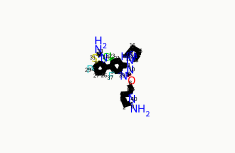 Nc1cccc(CCOc2nc(N3CC4CCC(C3)N4)c3cc(Cl)c(-c4ccc(F)c5sc(N)nc45)c(F)c3n2)n1